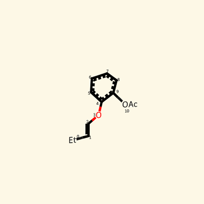 CCC=COc1ccccc1OC(C)=O